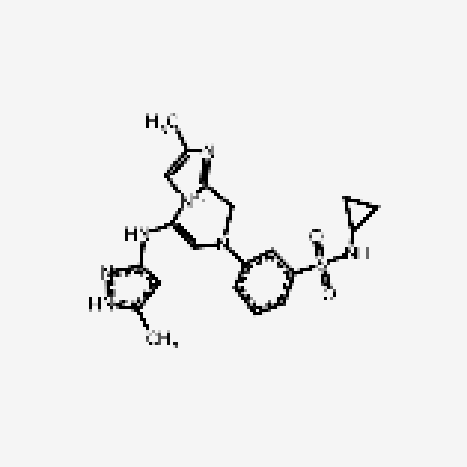 CC1=C[N+]2C(Nc3cc(C)[nH]n3)=CN(c3cccc(S(=O)(=O)NC4CC4)c3)CC2=N1